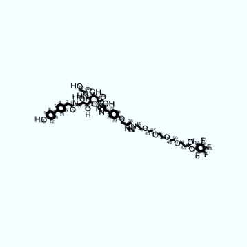 O=C(Cc1ccc(-c2ccc(O)cc2)cc1)NC[C@@H](O)[C@@H](O)[C@@H]1O[C@](C(=O)O)(n2cc(-c3ccc(OCc4cn(CCOCCOCCOCCOCCC(=O)Oc5c(F)c(F)c(F)c(F)c5F)nn4)cc3)nn2)C[C@H](O)[C@H]1NC(=O)CO